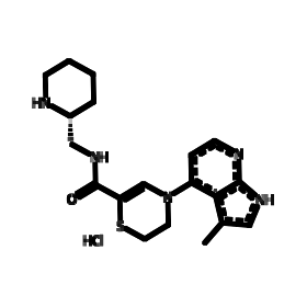 Cc1c[nH]c2nccc(N3C=C(C(=O)NC[C@H]4CCCCN4)SCC3)c12.Cl